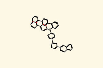 c1ccc(N(c2ccc(-c3ccccc3)cc2)c2ccc(-c3cccc(-c4ccc5ccccc5c4)c3)cc2)c(-c2ccc(-c3ccccc3)cc2)c#1